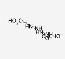 O=CC(=O)NC(=O)CNCCNCCNCCCCCC(=O)O